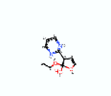 CCOC1(O)OC=CC1c1ncccn1